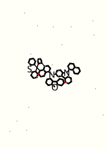 c1ccc2c(c1)Sc1ccccc1C21c2ccccc2-c2ccc(N(c3ccc4c(c3)c3ccccc3n4-c3cccc4ccccc34)c3cccc4oc5ccccc5c34)c3cccc1c23